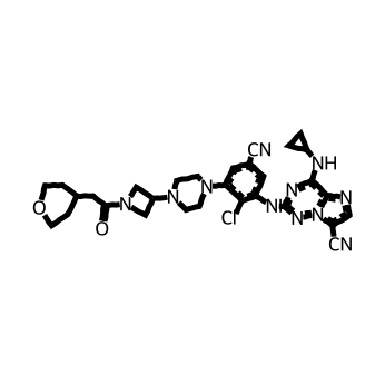 N#Cc1cc(Nc2nc(NC3CC3)c3ncc(C#N)n3n2)c(Cl)c(N2CCN(C3CN(C(=O)CC4CCOCC4)C3)CC2)c1